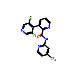 O=C(Nc1cc(C(F)(F)F)ccn1)c1ncccc1-c1c(Cl)cncc1Cl